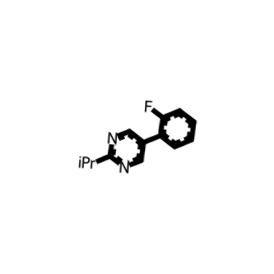 CC(C)c1ncc(-c2ccccc2F)cn1